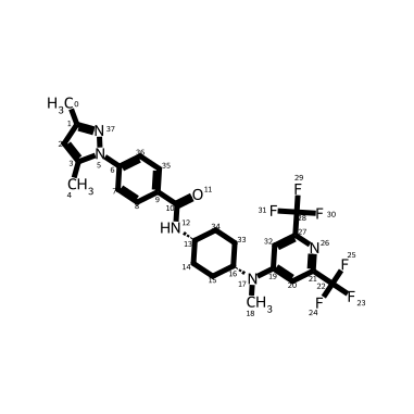 Cc1cc(C)n(-c2ccc(C(=O)N[C@H]3CC[C@@H](N(C)c4cc(C(F)(F)F)nc(C(F)(F)F)c4)CC3)cc2)n1